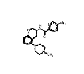 CCCCc1ccc(C(=O)N[C@@H]2COc3cccc(N4CCN(C)CC4)c3C2)nc1